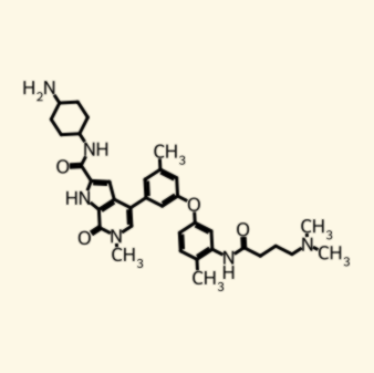 Cc1cc(Oc2ccc(C)c(NC(=O)CCCN(C)C)c2)cc(-c2cn(C)c(=O)c3[nH]c(C(=O)NC4CCC(N)CC4)cc23)c1